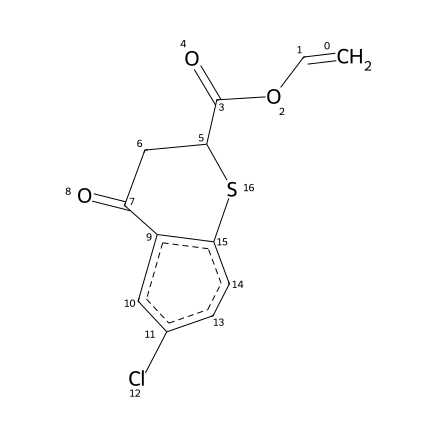 C=COC(=O)C1CC(=O)c2cc(Cl)ccc2S1